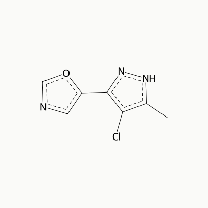 Cc1[nH]nc(-c2cnco2)c1Cl